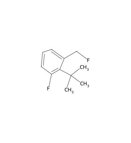 CC(C)(C)c1c(F)cccc1CF